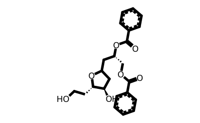 O=C(OC[C@H](CC1C[C@@H](O)[C@H](CCO)O1)OC(=O)c1ccccc1)c1ccccc1